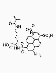 C=C(C)C(=O)NCCCCC(NS(=O)(=O)c1cc(N)c2ccc3c(S(=O)(=O)O)cc([SH](=O)=O)c4ccc1c2c43)C(=O)O